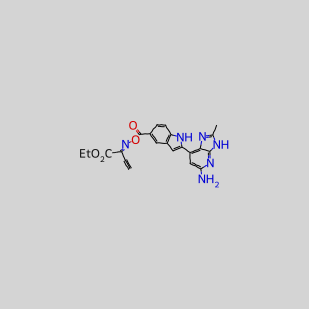 C#C/C(=N\OC(=O)c1ccc2[nH]c(-c3cc(N)nc4[nH]c(C)nc34)cc2c1)C(=O)OCC